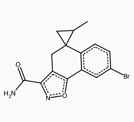 CC1CC12Cc1c(C(N)=O)noc1-c1cc(Br)ccc12